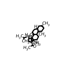 C=CC12C(NC(C)C)C[C@H](C(C)=O)[C@@]1(C)CCC1[C@@]3(C)CC[C@H](C)C[C@H]3CC[C@]12C